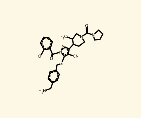 N#Cc1c(C2CCN(C(=O)N3CCCC3)CC2C(F)(F)F)nn(C(=O)c2ccccc2Cl)c1SCc1ccc(CN)cc1